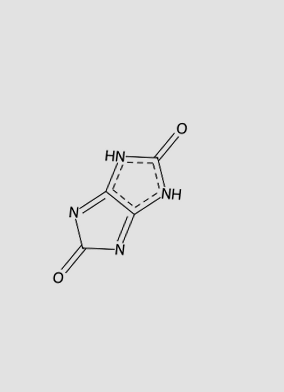 O=C1N=c2[nH]c(=O)[nH]c2=N1